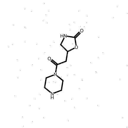 O=C1NCC(CC(=O)N2CCNCC2)O1